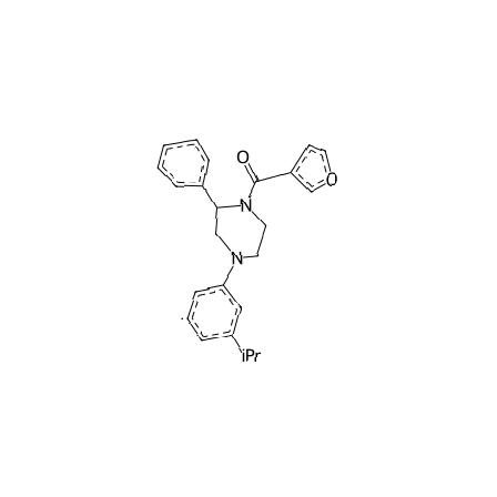 CC(C)c1c[c]cc(N2CCN(C(=O)c3ccoc3)C(c3ccccc3)C2)c1